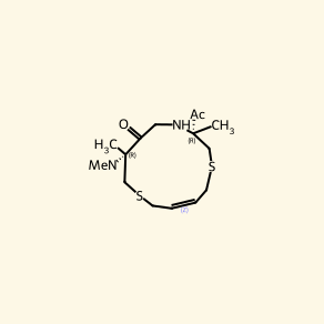 CN[C@@]1(C)CSC/C=C\CSC[C@@](C)(C(C)=O)NCC1=O